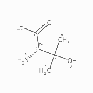 CCC(=O)[C@@H](N)C(C)(C)O